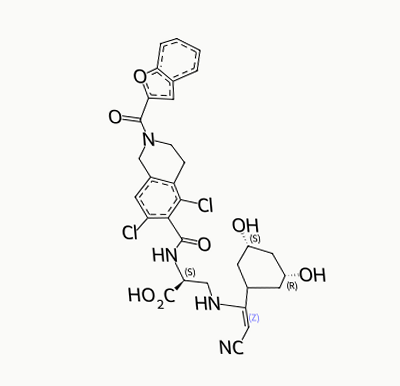 N#C/C=C(\NC[C@H](NC(=O)c1c(Cl)cc2c(c1Cl)CCN(C(=O)c1cc3ccccc3o1)C2)C(=O)O)C1C[C@@H](O)C[C@@H](O)C1